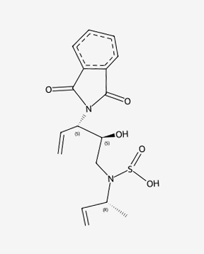 C=C[C@@H](C)N(C[C@H](O)[C@H](C=C)N1C(=O)c2ccccc2C1=O)S(=O)O